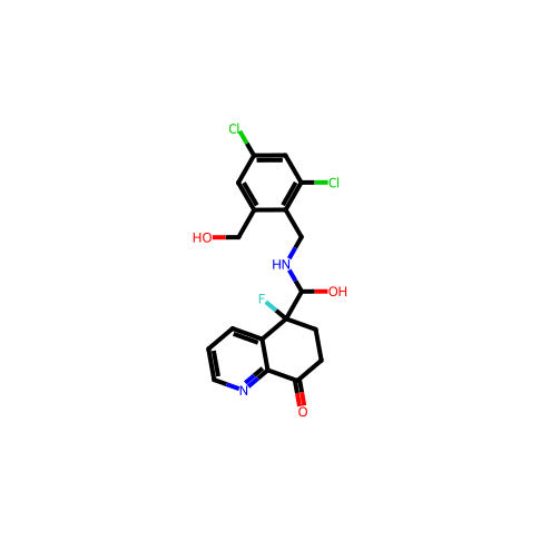 O=C1CCC(F)(C(O)NCc2c(Cl)cc(Cl)cc2CO)c2cccnc21